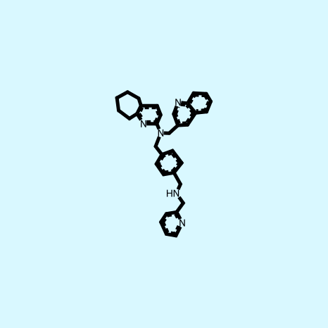 c1ccc(CNCc2ccc(CN(Cc3cnc4ccccc4c3)c3ccc4c(n3)CCCCC4)cc2)nc1